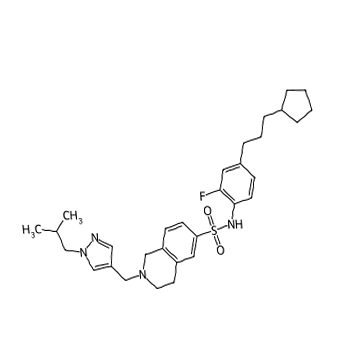 CC(C)Cn1cc(CN2CCc3cc(S(=O)(=O)Nc4ccc(CCCC5CCCC5)cc4F)ccc3C2)cn1